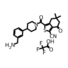 CC1(C)CC(=O)c2c(C#N)sc(C(=O)N3CCC(c4cccc(CN)c4)CC3)c2C1.O=C(O)C(F)(F)F